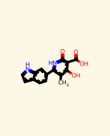 Cc1c(-c2ccc3cc[nH]c3c2)[nH]c(=O)c(C(=O)O)c1O